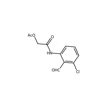 CC(=O)OCC(=O)Nc1cccc(Cl)c1C=O